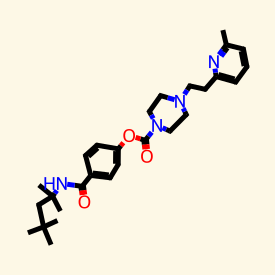 Cc1cccc(CCN2CCN(C(=O)Oc3ccc(C(=O)NC(C)(C)CC(C)(C)C)cc3)CC2)n1